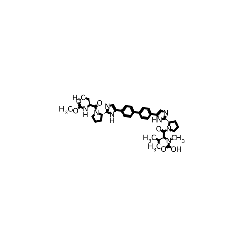 CC[C@H](NC(=O)OC)C(=O)N1CCC[C@H]1c1ncc(-c2ccc(-c3ccc(-c4cnc([C@@H]5CCCN5C(=O)[C@H](C(C)C)N(C)C(=O)O)[nH]4)cc3)cc2)[nH]1